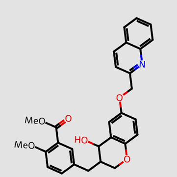 COC(=O)c1cc(CC2COc3ccc(OCc4ccc5ccccc5n4)cc3C2O)ccc1OC